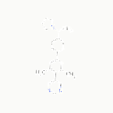 Cc1cc(-c2ccc(C(C)N3CCCC3)cc2)cc(C)c1-c1cncnc1